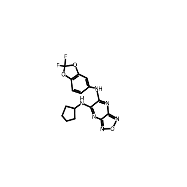 FC1(F)Oc2ccc(Nc3nc4nonc4nc3NC3CCCC3)cc2O1